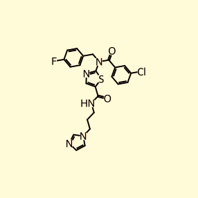 O=C(NCCCn1ccnc1)c1cnc(N(Cc2ccc(F)cc2)C(=O)c2cccc(Cl)c2)s1